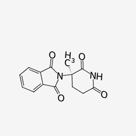 C[C@@]1(N2C(=O)c3ccccc3C2=O)CCC(=O)NC1=O